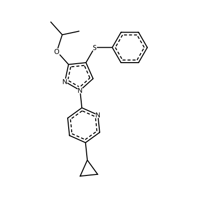 CC(C)Oc1nn(-c2ccc(C3CC3)cn2)cc1Sc1ccccc1